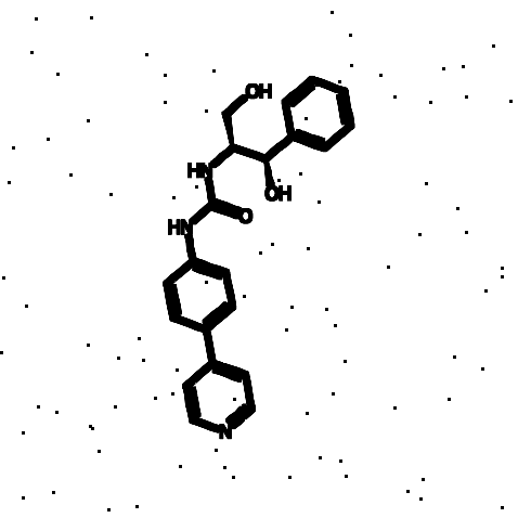 O=C(Nc1ccc(-c2ccncc2)cc1)N[C@@H](CO)[C@H](O)c1ccccc1